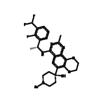 CC(=O)N1CCC(O)(c2cc3c(N[C@H](C)c4cccc(C(F)F)c4F)nc(C)nc3c3c2OCCO3)CC1